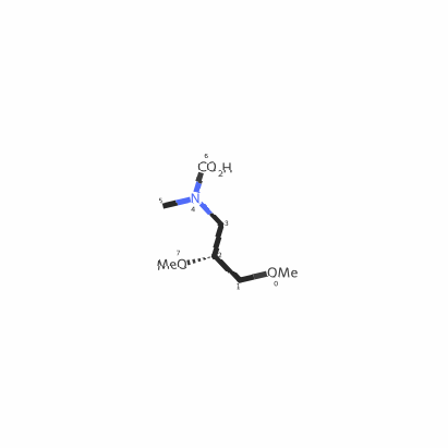 COC[C@@H](CN(C)C(=O)O)OC